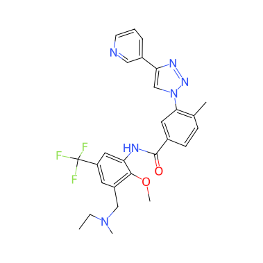 CCN(C)Cc1cc(C(F)(F)F)cc(NC(=O)c2ccc(C)c(-n3cc(-c4cccnc4)nn3)c2)c1OC